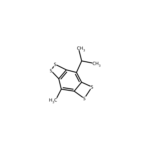 Cc1c2ssc2c(C(C)C)c2ssc12